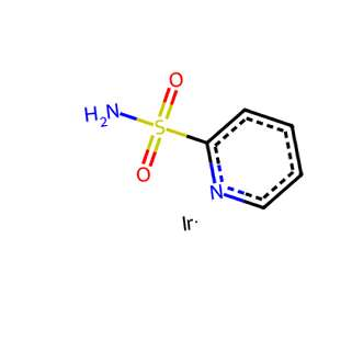 NS(=O)(=O)c1ccccn1.[Ir]